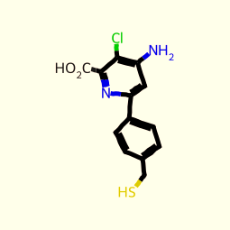 Nc1cc(-c2ccc(CS)cc2)nc(C(=O)O)c1Cl